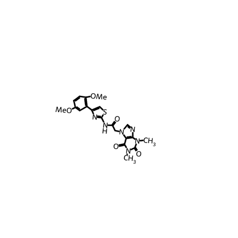 COc1ccc(OC)c(-c2csc(NC(=O)Cn3cnc4c3c(=O)n(C)c(=O)n4C)n2)c1